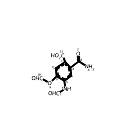 NC(=O)c1cc(NC=O)c(OC=O)cc1C(=O)O